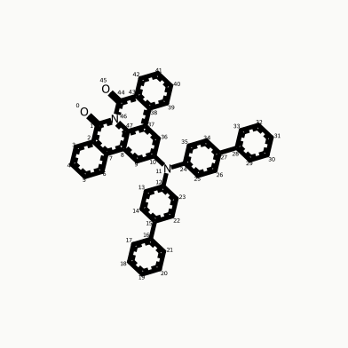 O=c1c2ccccc2c2cc(N(c3ccc(-c4ccccc4)cc3)c3ccc(-c4ccccc4)cc3)cc3c4ccccc4c(=O)n1c23